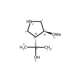 CO[C@@H]1CNC[C@H]1C(C)(C)O